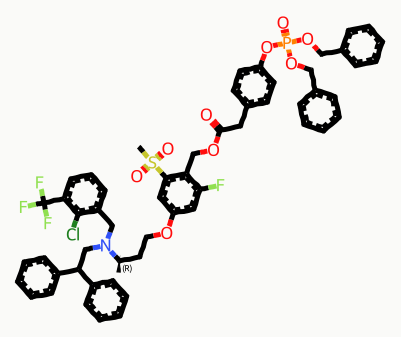 C[C@H](CCOc1cc(F)c(COC(=O)Cc2ccc(OP(=O)(OCc3ccccc3)OCc3ccccc3)cc2)c(S(C)(=O)=O)c1)N(Cc1cccc(C(F)(F)F)c1Cl)CC(c1ccccc1)c1ccccc1